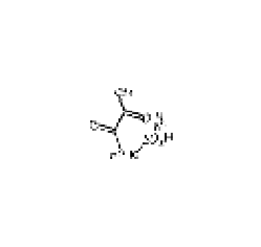 N.O=C(O)C(=O)O.O=S(=O)(O)O